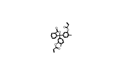 C=CC(=O)Oc1cc(C2(c3ccc(C)c(OC(=O)C=C)c3)OC(=O)c3ccccc32)ccc1C